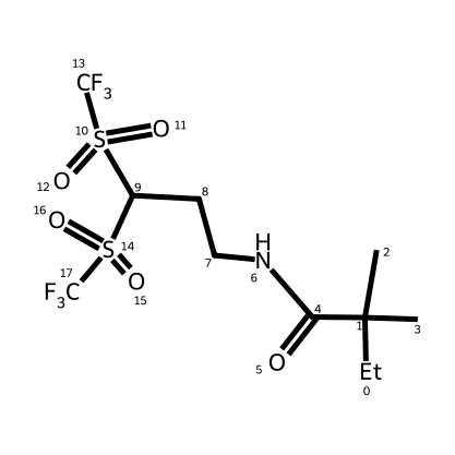 CCC(C)(C)C(=O)NCCC(S(=O)(=O)C(F)(F)F)S(=O)(=O)C(F)(F)F